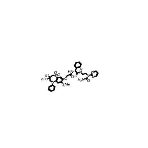 CCCCC1(CC)CN(c2ccccc2)c2cc(SC)c(OCC(=O)N[C@@H](C(=O)NCCN(C(N)=O)c3ncccn3)c3ccccc3)cc2S(=O)(=O)C1